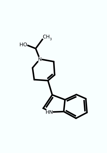 CC(O)N1CC=C(c2c[nH]c3ccccc23)CC1